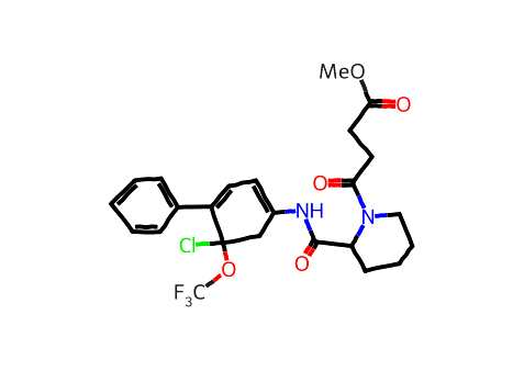 COC(=O)CCC(=O)N1CCCCC1C(=O)NC1=CC=C(c2ccccc2)C(Cl)(OC(F)(F)F)C1